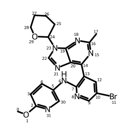 COc1ccc(Nc2ncc(Br)cc2-c2nc(C)nc3c2ncn3C2CCCCO2)cn1